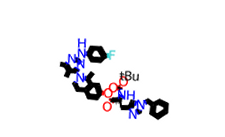 Cc1nc(Nc2ccc(F)cc2)nc(N2CCc3ccc(OC(=O)[C@H](Cc4cn(Cc5ccccc5)cn4)NC(=O)OC(C)(C)C)cc3C2C)c1C